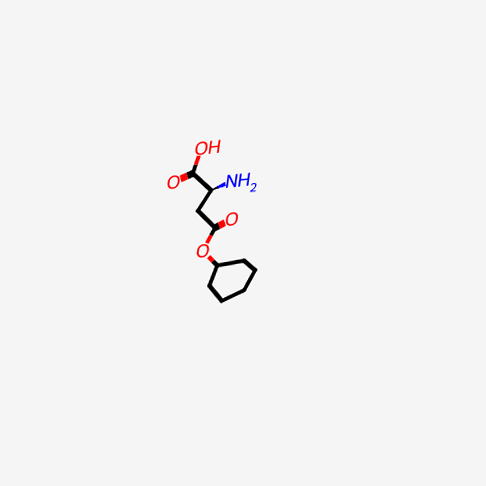 N[C@@H](CC(=O)OC1CCCCC1)C(=O)O